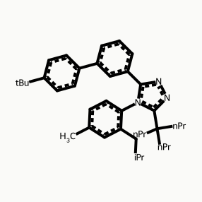 CCCC(CCC)(CCC)c1nnc(-c2cccc(-c3ccc(C(C)(C)C)cc3)c2)n1-c1ccc(C)cc1CC(C)C